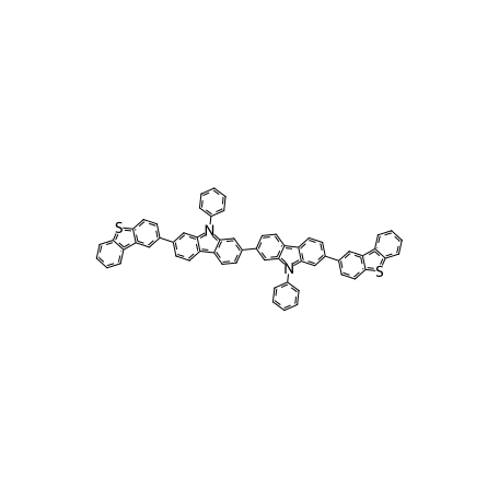 c1ccc(-n2c3cc(-c4ccc5sc6ccccc6c5c4)ccc3c3ccc(-c4ccc5c6ccc(-c7ccc8sc9ccccc9c8c7)cc6n(-c6ccccc6)c5c4)cc32)cc1